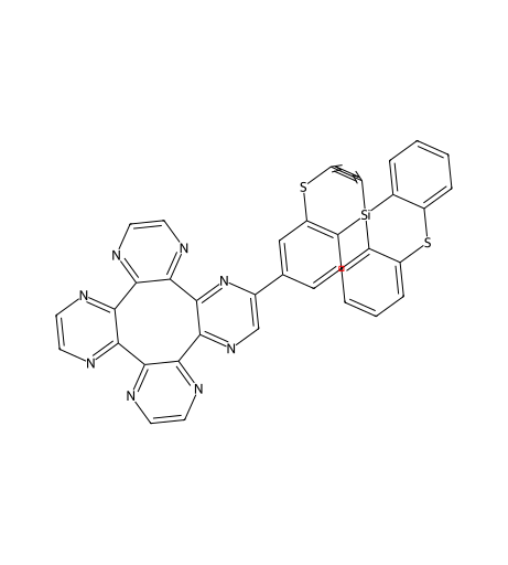 c1ccc2c(c1)Sc1ccccc1[Si]21c2ccccc2Sc2cc(-c3cnc4c(n3)-c3nccnc3-c3nccnc3-c3nccnc3-4)ccc21